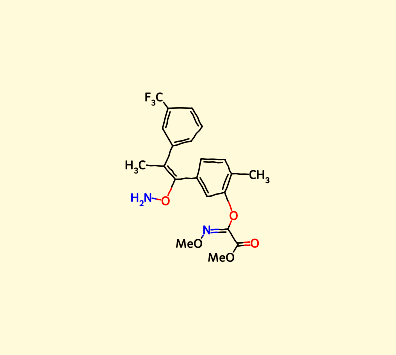 CON=C(Oc1cc(C(ON)=C(C)c2cccc(C(F)(F)F)c2)ccc1C)C(=O)OC